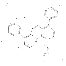 O=S(=O)(O)O.c1ccc(-c2ccnc3c2ccc2c(-c4ccccc4)ccnc23)cc1